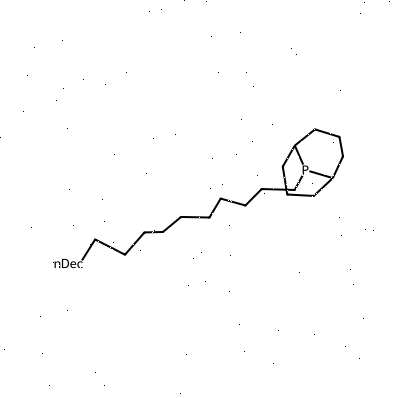 CCCCCCCCCCCCCCCCCCCCP1C2CCCC1CCC2